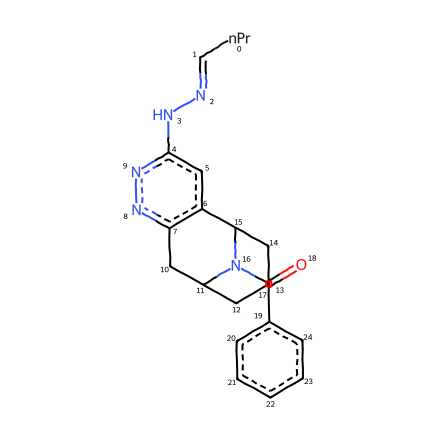 CCCC=NNc1cc2c(nn1)CC1CCCC2N1C(=O)c1ccccc1